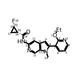 CCOc1ncccc1-c1cc2cc(NC(=O)[C@@H]3C[C@@H]3F)ncc2n1C